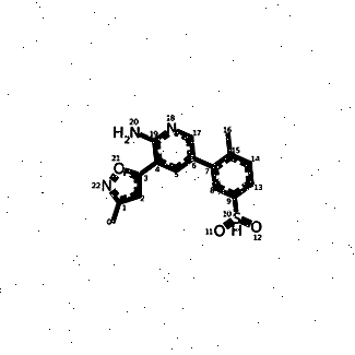 Cc1cc(-c2cc(-c3cc([SH](=O)=O)ccc3C)cnc2N)on1